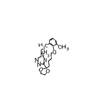 Cc1cccc(C)c1OCCCCC1(c2nnn(C)n2)OCCO1